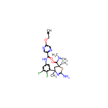 C#CCOc1cnc(C(=O)Nc2cc(F)c(F)c([C@]3(C)C[C@](C)(C(=O)N(C)C)SC(N)=N3)c2)cn1